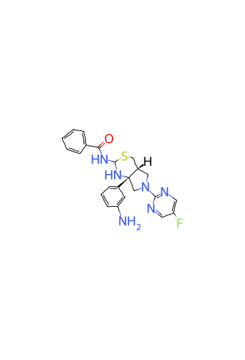 Nc1cccc([C@]23CN(c4ncc(F)cn4)C[C@H]2CSC(NC(=O)c2ccccc2)N3)c1